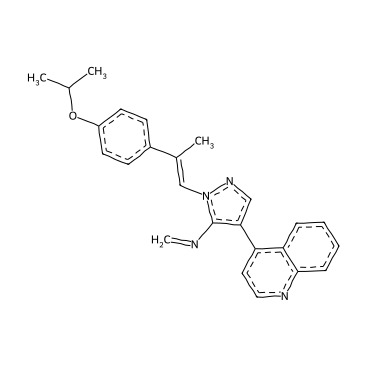 C=Nc1c(-c2ccnc3ccccc23)cnn1/C=C(\C)c1ccc(OC(C)C)cc1